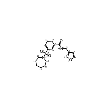 O=C(NCc1ccon1)c1cccc(S(=O)(=O)N2CCCCCC2)c1